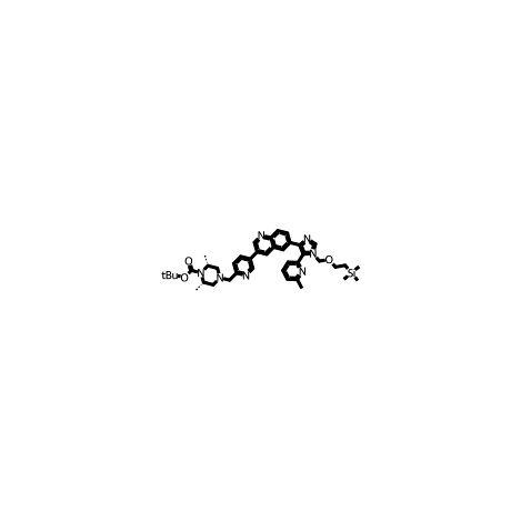 Cc1cccc(-c2c(-c3ccc4ncc(-c5ccc(CN6C[C@@H](C)N(C(=O)OC(C)(C)C)[C@@H](C)C6)nc5)cc4c3)ncn2COCC[Si](C)(C)C)n1